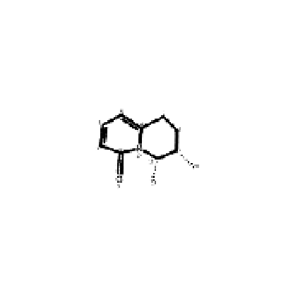 C[C@H]1CCc2cccc(=O)n2[C@H]1C